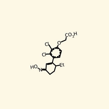 CCC1CCC(=NO)C=C1c1ccc(OCC(=O)O)c(Cl)c1Cl